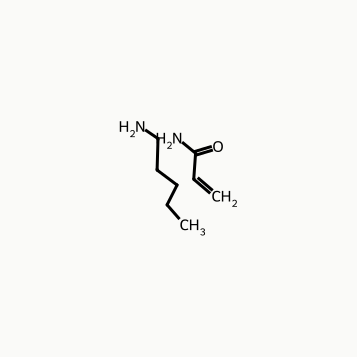 C=CC(N)=O.CCCCCN